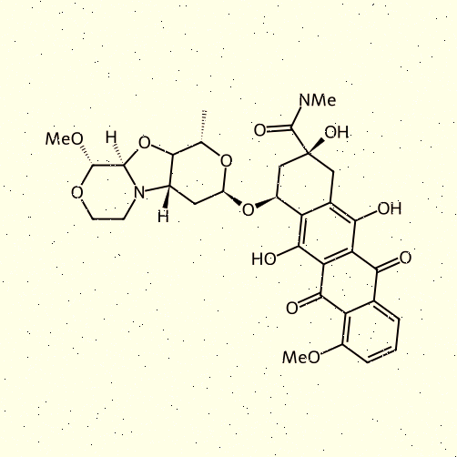 CNC(=O)[C@]1(O)Cc2c(O)c3c(c(O)c2[C@@H](O[C@H]2C[C@H]4C(O[C@@H]5[C@@H](OC)OCCN54)[C@H](C)O2)C1)C(=O)c1c(OC)cccc1C3=O